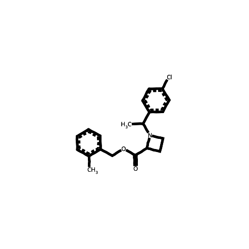 Cc1ccccc1COC(=O)C1CCN1C(C)c1ccc(Cl)cc1